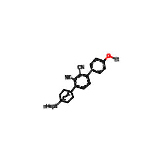 CCCCCCCC12CCC(c3ccc(-c4ccc(OCC)cc4)c(C#N)c3C#N)(CC1)CC2